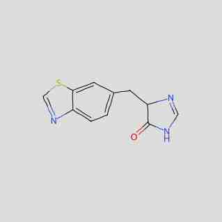 O=C1NC=NC1Cc1ccc2ncsc2c1